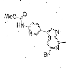 COC(=O)Nc1ccc(-c2cnc3c(C)nc(Br)cn23)cn1